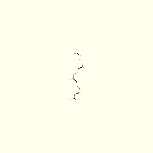 CC(C)=CCCC(C)=CCCC(C)=CCCC(C)=CC(=O)N(C)C